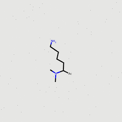 CC(=O)C(CCCCN)N(C)C